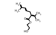 C=C(C)C=CCC(C(=O)OCCO)=C(C)C